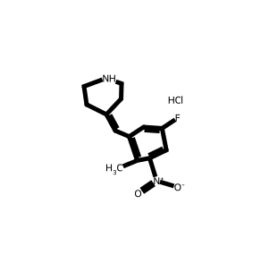 Cc1c(C=C2CCNCC2)cc(F)cc1[N+](=O)[O-].Cl